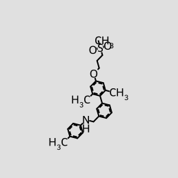 Cc1ccc(NCc2cccc(-c3c(C)cc(OCCCS(C)(=O)=O)cc3C)c2)cc1